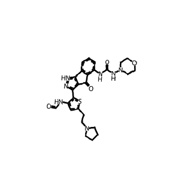 O=CNc1cc(CCN2CCCC2)sc1-c1n[nH]c2c1C(=O)c1c(NC(=O)NN3CCOCC3)cccc1-2